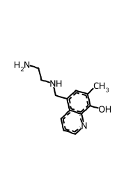 Cc1cc(CNCCN)c2cccnc2c1O